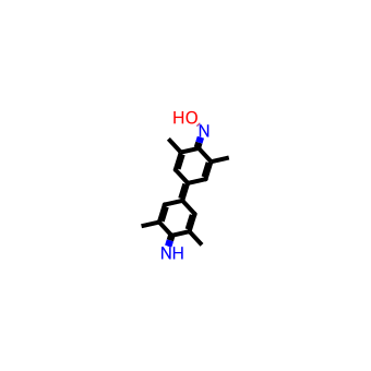 CC1=CC(=C2C=C(C)C(=NO)C(C)=C2)C=C(C)C1=N